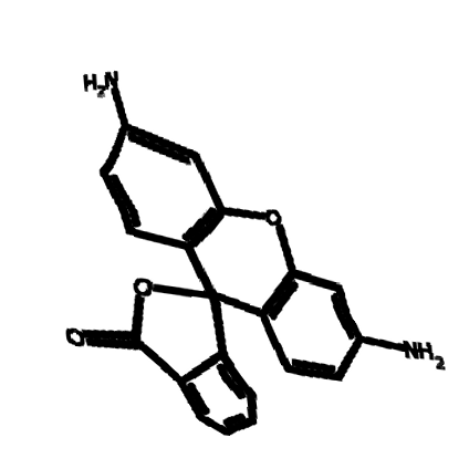 Nc1ccc2c(c1)Oc1cc(N)ccc1C21OC(=O)c2ccccc21